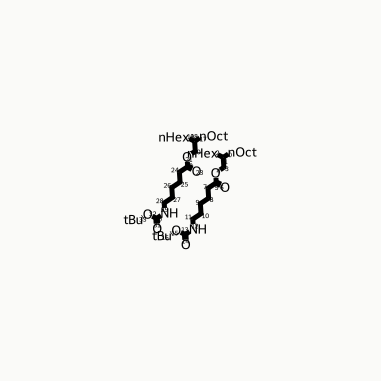 CCCCCCCCC(CCCCCC)COC(=O)CCCCCNC(=O)OC(C)(C)C.CCCCCCCCC(CCCCCC)COC(=O)CCCCCNC(=O)OC(C)(C)C